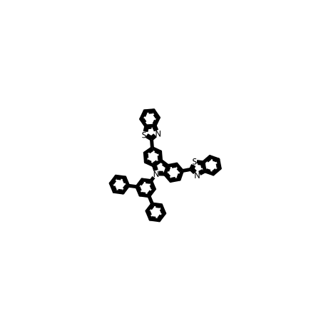 c1ccc(-c2cc(-c3ccccc3)cc(-n3c4ccc(-c5nc6ccccc6s5)cc4c4cc(-c5nc6ccccc6s5)ccc43)c2)cc1